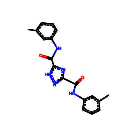 Cc1cccc(NC(=O)c2n[nH]c(C(=O)Nc3cccc(C)c3)n2)c1